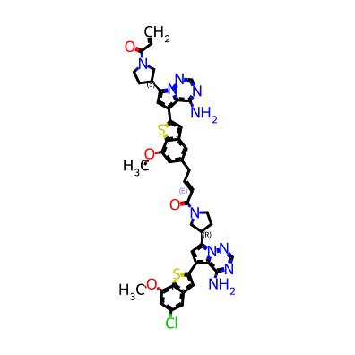 C=CC(=O)N1CC[C@H](c2cc(-c3cc4cc(C/C=C/C(=O)N5CC[C@@H](c6cc(-c7cc8cc(Cl)cc(OC)c8s7)c7c(N)ncnn67)C5)cc(OC)c4s3)c3c(N)ncnn23)C1